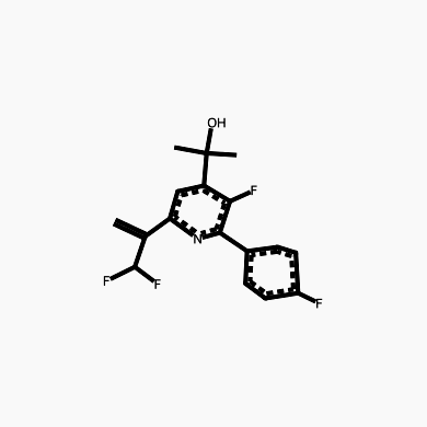 C=C(c1cc(C(C)(C)O)c(F)c(-c2ccc(F)cc2)n1)C(F)F